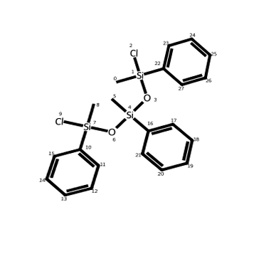 C[Si](Cl)(O[Si](C)(O[Si](C)(Cl)c1ccccc1)c1ccccc1)c1ccccc1